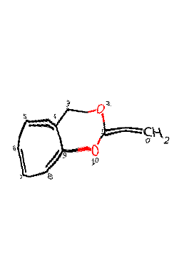 C=C1OCc2ccccc2O1